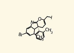 Cc1ccccc1[C@@]12CC=C(CI)OC1=NC1=CC(Br)=CC(C)C12